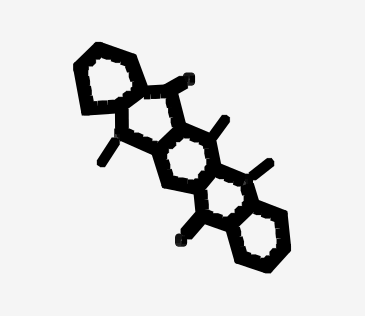 Cc1c2c(=O)c3ccccc3n(C)c2cc2c(=O)c3ccccc3n(C)c12